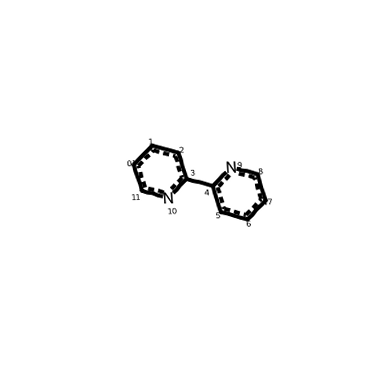 [c]1ccc(-c2cc[c]cn2)nc1